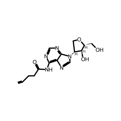 C=CCCC(=O)Nc1ncnc2c1ncn2[C@@H]1CO[C@H](CO)[C@H]1O